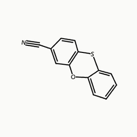 N#Cc1ccc2c(c1)Oc1ccccc1S2